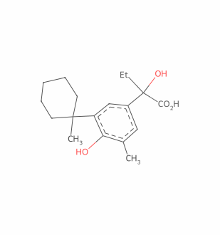 CCC(O)(C(=O)O)c1cc(C)c(O)c(C2(C)CCCCC2)c1